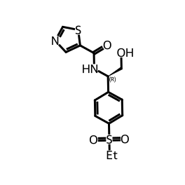 CCS(=O)(=O)c1ccc([C@H](CO)NC(=O)c2cncs2)cc1